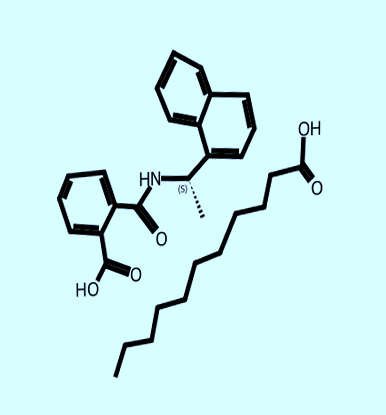 CCCCCCCCCCC(=O)O.C[C@H](NC(=O)c1ccccc1C(=O)O)c1cccc2ccccc12